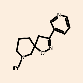 CC(C)N1CCCC2(CC(c3cccnc3)=NO2)C1